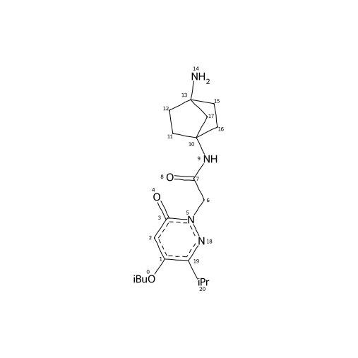 CC(C)COc1cc(=O)n(CC(=O)NC23CCC(N)(CC2)C3)nc1C(C)C